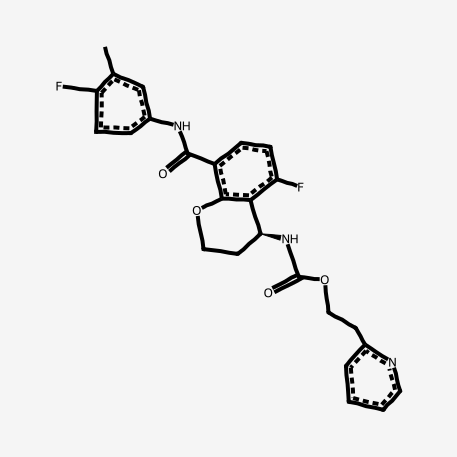 Cc1cc(NC(=O)c2ccc(F)c3c2OCC[C@@H]3NC(=O)OCCc2ccccn2)ccc1F